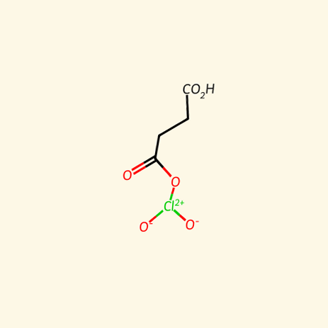 O=C(O)CCC(=O)O[Cl+2]([O-])[O-]